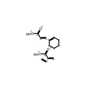 C1=CCCCC1.C=C.C=CC(=O)OC.C=CC(=O)OC